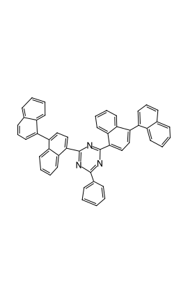 c1ccc(-c2nc(-c3ccc(-c4cccc5ccccc45)c4ccccc34)nc(-c3ccc(-c4cccc5ccccc45)c4ccccc34)n2)cc1